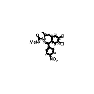 CNC(=O)N1N=C(c2ccc([N+](=O)[O-])cc2)c2cc(Cl)c(Cl)cc2CC1C